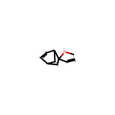 C=CC1(OC)CC2C=CC1C2